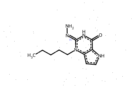 CCCCCn1/c(=N/N)[nH]c(=O)c2[nH]ccc21